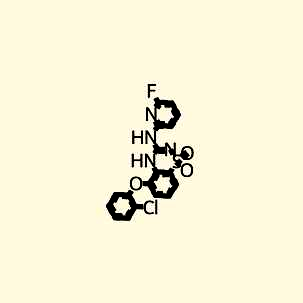 O=S1(=O)N=C(Nc2cccc(F)n2)Nc2c(Oc3ccccc3Cl)cccc21